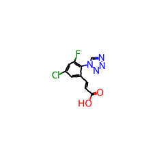 O=C(O)C=Cc1cc(Cl)cc(F)c1-n1cnnn1